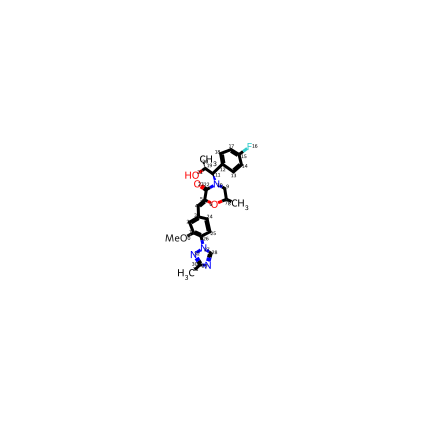 COc1cc(C=C2OC(C)CN([C@H](c3ccc(F)cc3)[C@@H](C)O)C2=O)ccc1-n1cnc(C)n1